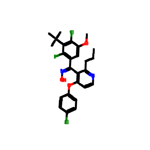 CCCc1nccc(Oc2ccc(Cl)cc2)c1/C(=N\O)c1cc(OC)c(Cl)c([Si](C)(C)C)c1F